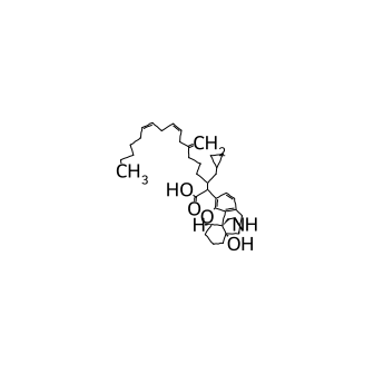 C=C(C/C=C\C/C=C\CCCCC)CCCC(CC1CC1)C(C(=O)O)c1ccc2c3c1O[C@H]1CCC[C@@]4(O)C(C2)NCC[C@]314